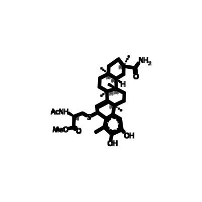 COC(=O)[C@H](CSC1C=C2[C@@](C)(CC[C@@]3(C)[C@@H]4C[C@](C)(C(N)=O)CC[C@]4(C)CC[C@]23C)c2cc(O)c(O)c(C)c21)NC(C)=O